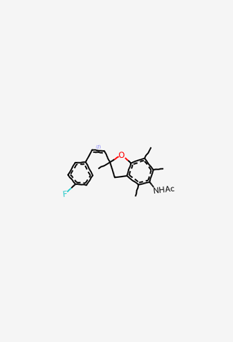 CC(=O)Nc1c(C)c(C)c2c(c1C)CC(C)(/C=C\c1ccc(F)cc1)O2